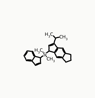 CC(C)C1=CC([Si](C)(C)C2C=Cc3ccccc32)c2cc3c(cc21)CCC3